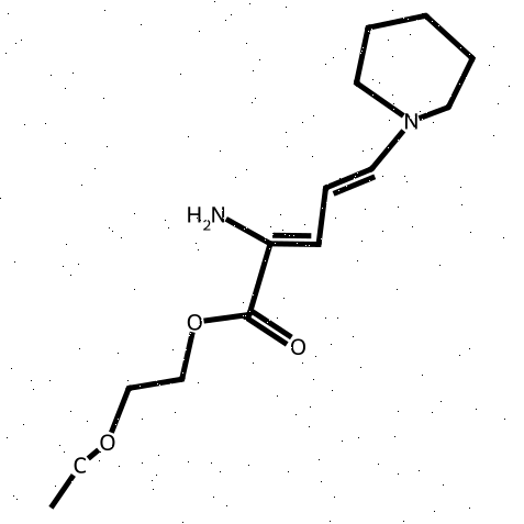 CCOCCOC(=O)/C(N)=C/C=C/N1CCCCC1